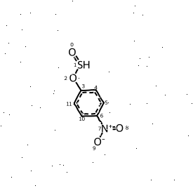 O=[SH]Oc1ccc([N+](=O)[O-])cc1